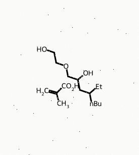 C=C(C)C(=O)O.CCCCC(CC)CC(O)COCCO